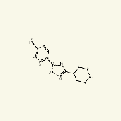 CC(C)c1ccc(-c2nc(C3CCOCC3)no2)nc1